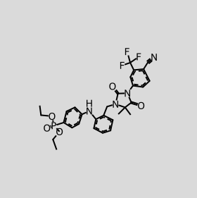 CCOP(=O)(OCC)c1ccc(Nc2ccccc2CN2C(=O)N(c3ccc(C#N)c(C(F)(F)F)c3)C(=O)C2(C)C)cc1